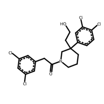 O=C(Cc1cc(Cl)cc(Cl)c1)N1CCCC(CCO)(c2ccc(Cl)c(Cl)c2)C1